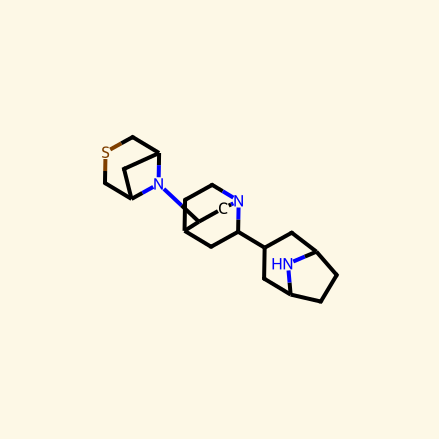 C1CC2CC(C3CC4CCN3CC4N3C4CSCC3C4)CC1N2